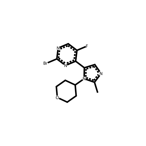 Cc1ncc(-c2nc(Br)ncc2F)n1C1CCOCC1